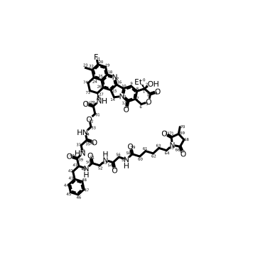 CC[C@@]1(O)C(=O)OCc2c1cc1n(c2=O)Cc2c-1nc1cc(F)c(C)c3c1c2[C@@H](NC(=O)COCNC(=O)CNC(=O)C(Cc1ccccc1)NC(=O)CNC(=O)CNC(=O)CCCCCN1C(=O)CC(C)C1=O)CC3